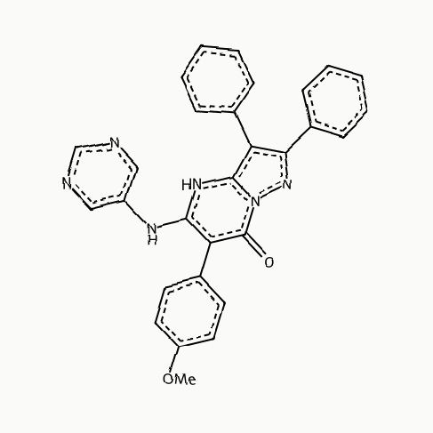 COc1ccc(-c2c(Nc3cncnc3)[nH]c3c(-c4ccccc4)c(-c4ccccc4)nn3c2=O)cc1